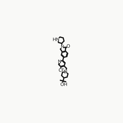 CC(C)(O)C1CCN(Cc2cc(-c3ccc4c(c3)CN(C3CCCNC3)C4=O)ncc2C(F)(F)F)CC1